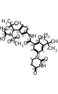 CC(C)(C)c1cc(N2CCC(=O)NC2=O)cc(C(=O)Nc2cc(C(N(C(=O)O)S(C)(=O)=O)C(C)(C)C)cs2)c1O